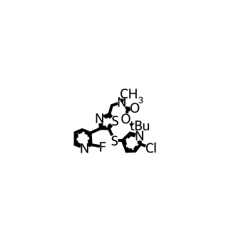 CN(Cc1nc(-c2cccnc2F)c(Sc2ccc(Cl)nc2)s1)C(=O)OC(C)(C)C